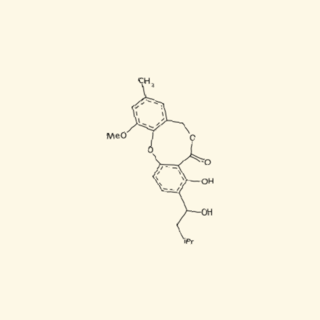 COc1cc(C)cc2c1Oc1ccc(C(O)CC(C)C)c(O)c1C(=O)OC2